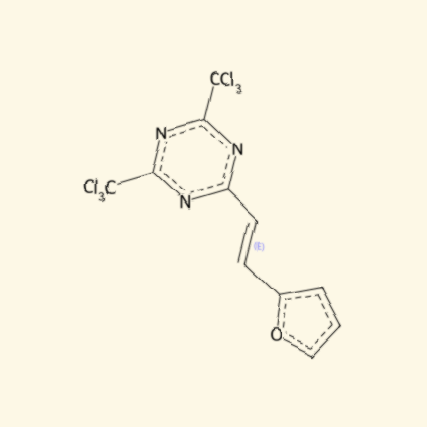 ClC(Cl)(Cl)c1nc(/C=C/c2ccco2)nc(C(Cl)(Cl)Cl)n1